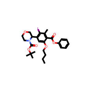 CCCCOc1cc(C2COCCN2C(=O)OC(C)(C)C)c(I)c(C)c1C(=O)Oc1ccccc1